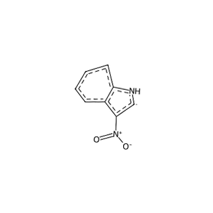 O=[N+]([O-])c1[c][nH]c2ccccc12